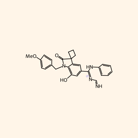 COc1ccc(CN2C(=O)C3(CCC3)c3cc(/C(=N/C=N)Nc4ccccc4)cc(O)c32)cc1